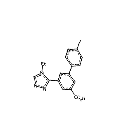 CCn1cnnc1-c1cc(C(=O)O)cc(-c2ccc(C)cc2)c1